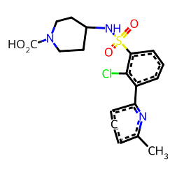 Cc1cccc(-c2cccc(S(=O)(=O)NC3CCN(C(=O)O)CC3)c2Cl)n1